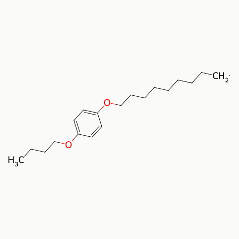 [CH2]CCCCCCCCOc1ccc(OCCCC)cc1